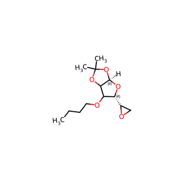 CCCCOC1C2OC(C)(C)O[C@H]2O[C@@H]1C1CO1